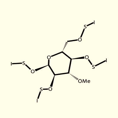 CO[C@@H]1[C@@H](OSI)[C@@H](OSI)O[C@H](COSI)[C@H]1OSI